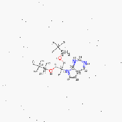 CC(C)(C)[SiH2]OCC(C)(CO[Si](C)(C)C(C)(C)C)n1ccc2cncnc21